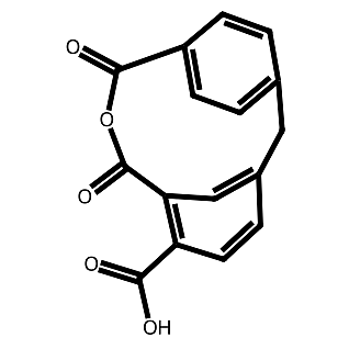 O=C1OC(=O)c2cc(ccc2C(=O)O)Cc2ccc1cc2